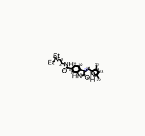 CCN(CC)CCNC(=O)c1ccc2c(c1)NC(=O)/C2=C\c1[nH]c(C)cc1C